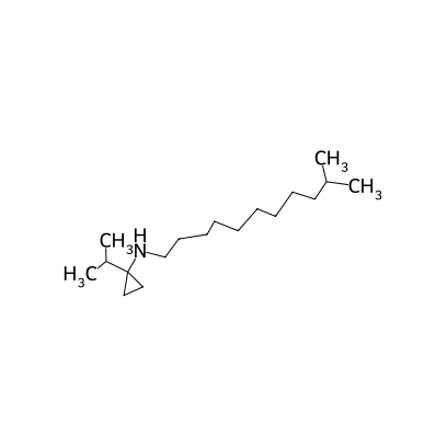 CC(C)CCCCCCCCCNC1(C(C)C)CC1